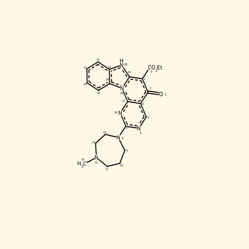 CCOC(=O)c1c(=O)c2cnc(N3CCCN(C)CC3)nc2n2c1[nH]c1ccccc12